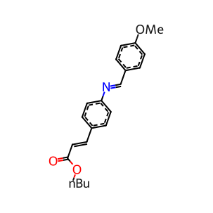 CCCCOC(=O)C=Cc1ccc(N=Cc2ccc(OC)cc2)cc1